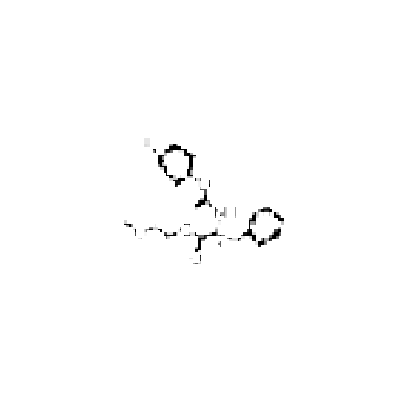 COCCOC(=O)[C@H](Cc1ccccc1)NC(=S)Oc1ccc(F)cc1